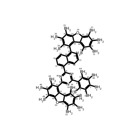 Bc1c(B)c(B)c(-c2nc(-c3cccc4c(-c5c(B)c(B)c(B)c6oc7c(B)c(B)c(B)c(B)c7c56)cccc34)nc(-c3c(B)c(B)c(B)c4oc5c(B)c(B)c(B)c(B)c5c34)n2)c(B)c1B